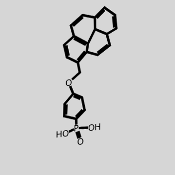 O=P(O)(O)c1ccc(OCc2ccc3c4c2C=CC2C=CC=C(C=C3)C42)cc1